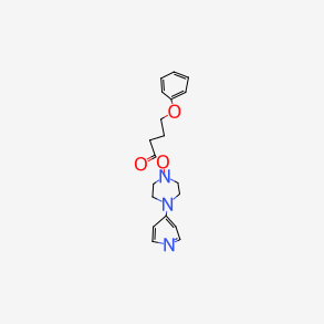 O=C(CCCOc1ccccc1)ON1CCN(c2ccncc2)CC1